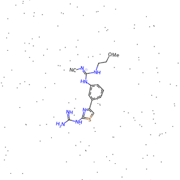 COCCN/C(=N/C#N)Nc1cccc(-c2csc(NC(=N)N)n2)c1